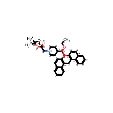 CCOCOc1ccc2ccccc2c1Cc1c(OCC2CCN(CC(=O)OC(C)(C)C)CC2)ccc2ccccc12